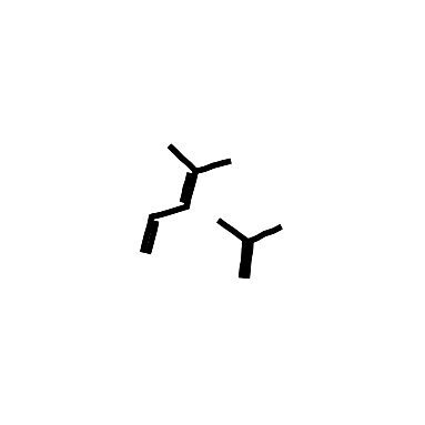 C=C(C)C.C=CC=C(C)C